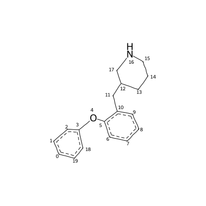 c1ccc(Oc2ccccc2CC2CCCNC2)cc1